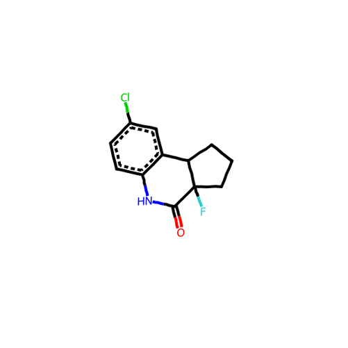 O=C1Nc2ccc(Cl)cc2C2CCCC12F